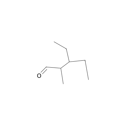 CCC(CC)C(C)C=O